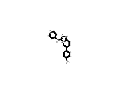 Cc1ccc(-c2ccc3nnc(Oc4ccncc4)n3c2)cc1